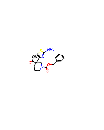 COC(=O)C1(c2csc(N)n2)CCCN(C(=O)OCc2ccccc2)C1